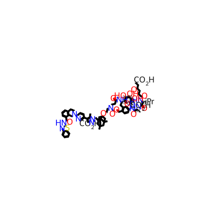 Cc1c(-c2ccc(N3CCc4cccc(C(=O)Nc5nc6ccccc6s5)c4C3)nc2C(=O)O)cnn1CC12CC3(C)CC(C)(C1)CC(OCCN(CCC(N)=O)C(=O)OCc1ccc(NC(=O)[C@H](C)NC(=O)[C@@H](NC(=O)CCC(=O)CCC(=O)O)C(C)C)cc1CC[C@@H]1O[C@H](C(=O)O)[C@@H](O)[C@H](O)[C@H]1O)(C3)C2